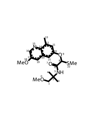 COCC(C)(C)NC(=O)C(Oc1cc(C)c2ncc(OC)cc2c1)SC